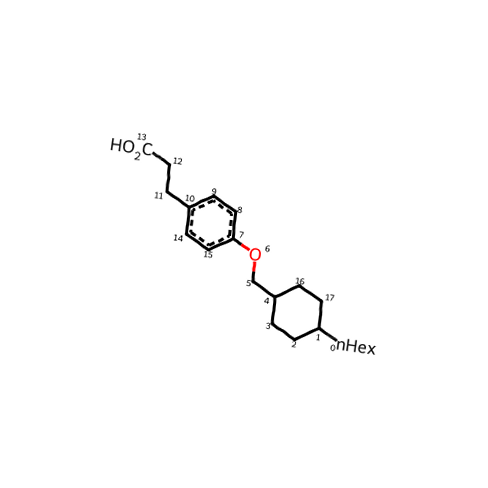 CCCCCCC1CCC(COc2ccc(CCC(=O)O)cc2)CC1